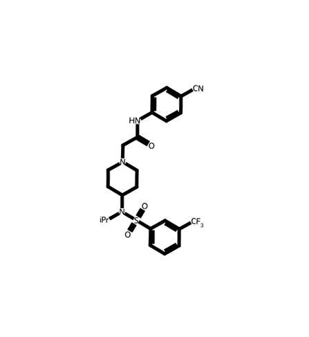 CC(C)N(C1CCN(CC(=O)Nc2ccc(C#N)cc2)CC1)S(=O)(=O)c1cccc(C(F)(F)F)c1